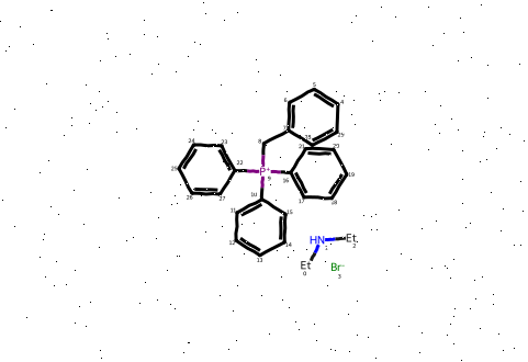 CCNCC.[Br-].c1ccc(C[P+](c2ccccc2)(c2ccccc2)c2ccccc2)cc1